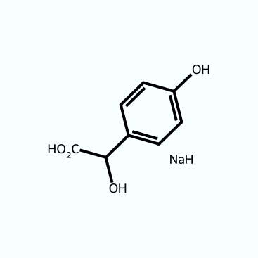 O=C(O)C(O)c1ccc(O)cc1.[NaH]